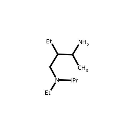 CCC(CN(CC)C(C)C)C(C)N